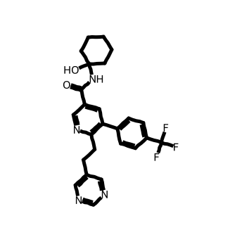 O=C(NC1(O)CCCCC1)c1cnc(CCc2cncnc2)c(-c2ccc(C(F)(F)F)cc2)c1